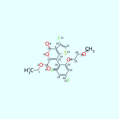 CCOC(=O)c1oc(=O)c2c(F)csc2c1-c1c(F)cc(F)cc1OCCOC